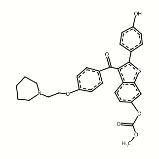 COC(=O)Oc1ccc2c(C(=O)c3ccc(OCCN4CCCCC4)cc3)c(-c3ccc(O)cc3)sc2c1